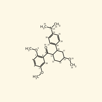 COc1ccc(OC)c(C(=O)C2CCC(OC)CC2c2ccc(N(C)C)cc2)c1